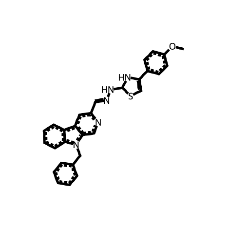 COc1ccc(C2=CSC(N/N=C/c3cc4c5ccccc5n(Cc5ccccc5)c4cn3)N2)cc1